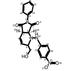 O=C1[C@@H]2[C@@H](C=CC(CO)N2Nc2ccc([N+](=O)[O-])cc2)C(=O)N1c1ccccc1